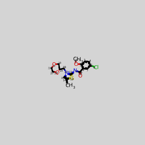 COc1ccc(Cl)cc1C(=O)N=c1sc(C)cn1CC1COCCO1